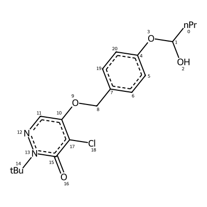 CCCC(O)Oc1ccc(COc2cnn(C(C)(C)C)c(=O)c2Cl)cc1